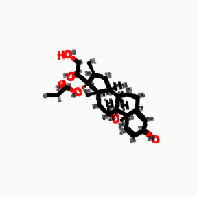 CCC(=O)O[C@]1(C(=O)CO)[C@@H](C)C[C@H]2[C@@H]3CCC4=CC(=O)C=C[C@]4(C)[C@@]34O[C@H]4C[C@@]21C